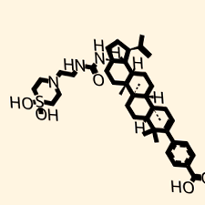 C=C(C)[C@@H]1CC[C@]2(NC(=O)NCCN3CCS(O)(O)CC3)CC[C@]3(C)[C@H](CC[C@@H]4[C@@]5(C)CC=C(c6ccc(C(=O)O)cc6)C(C)(C)[C@@H]5CC[C@]43C)[C@@H]12